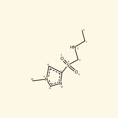 [CH2]CNCS(=O)(=O)c1cn(C)cn1